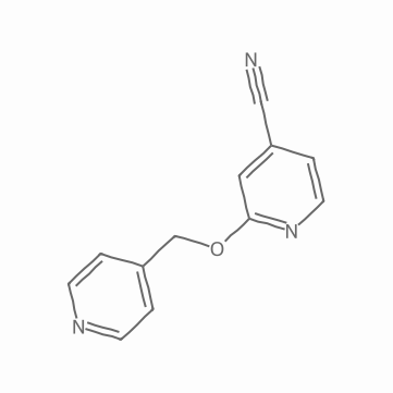 N#Cc1ccnc(OCc2ccncc2)c1